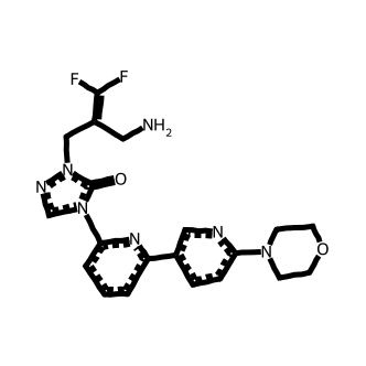 NCC(Cn1ncn(-c2cccc(-c3ccc(N4CCOCC4)nc3)n2)c1=O)=C(F)F